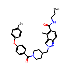 COCCNC(=O)c1ccc2nn(CC3CCN(C(=O)c4ccc(Oc5ccc(C(C)(C)C)cc5)cc4)CC3)cc2c1C